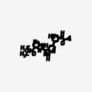 CN(C)C(=O)c1cncc2[nH]c(-c3n[nH]c4ncc(C5=CC(NC(=O)C6CC6)=CNC5)cc34)nc12